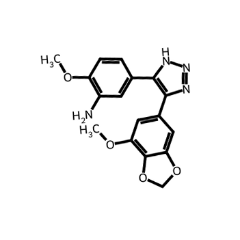 COc1ccc(-c2[nH]nnc2-c2cc(OC)c3c(c2)OCO3)cc1N